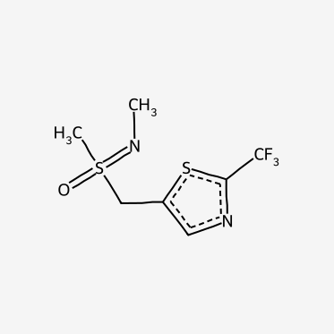 CN=S(C)(=O)Cc1cnc(C(F)(F)F)s1